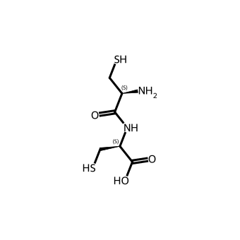 N[C@H](CS)C(=O)N[C@H](CS)C(=O)O